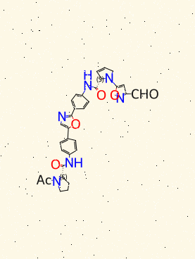 CC(=O)N1CCC[C@H]1C(=O)Nc1ccc(-c2cnc(-c3ccc(NC(=O)[C@@H]4C=CCN4c4cc(C=O)no4)cc3)o2)cc1